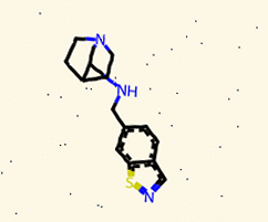 c1cc2cnsc2cc1CNC1CN2CCC1CC2